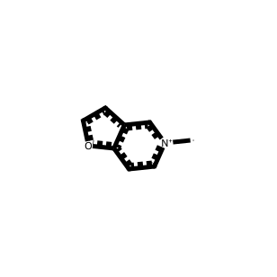 [CH2][n+]1ccc2occc2c1